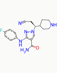 N#CC[C@@H](C1CCNCC1)n1cc(C(N)=O)c(Nc2ccc(F)cc2)n1